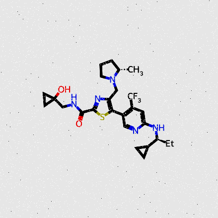 CC[C@H](Nc1cc(C(F)(F)F)c(-c2sc(C(=O)NCC3(O)CC3)nc2CN2CCC[C@@H]2C)cn1)C1CC1